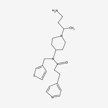 CC(CCN)N1CCC(N(Cc2ccsc2)C(=O)CCc2ccncc2)CC1